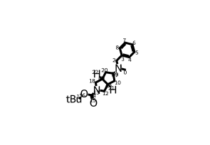 CN(Cc1ccccc1)[C@@H]1C[C@@H]2CN(C(=O)OC(C)(C)C)C[C@@H]2C1